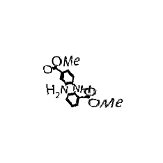 COC(=O)c1ccc(Nc2ccccc2C(=O)OC)c(N)c1